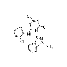 Clc1nc(Cl)nc(Nc2ccccc2Cl)n1.Nc1nsc2ccccc12